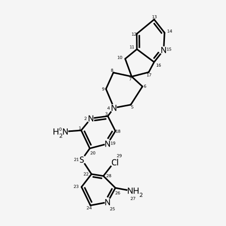 Nc1nc(N2CCC3(CC2)Cc2cccnc2C3)cnc1Sc1ccnc(N)c1Cl